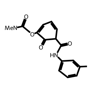 CNC(=O)OC1=CC=CC(C(=O)Nc2cccc(C)c2)C1=O